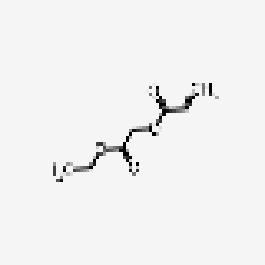 C=CC(=O)OCC(=O)OCC